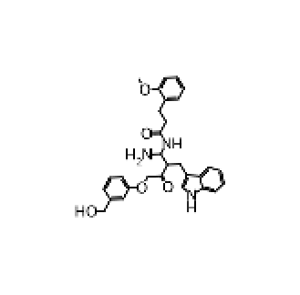 COc1ccccc1CCC(=O)NC(N)C(Cc1c[nH]c2ccccc12)C(=O)COc1cccc(CO)c1